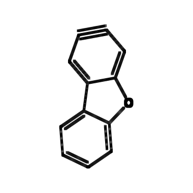 c1cc2oc3ccccc3c2cc#1